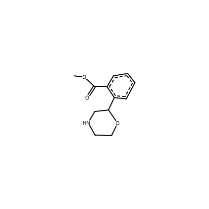 COC(=O)c1ccccc1C1CNCCO1